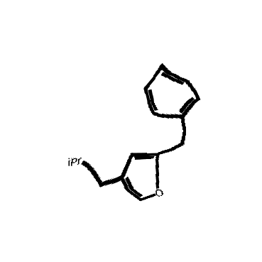 CC(C)Cc1coc(Cc2ccccc2)c1